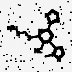 CCCCSCSc1nc(-c2nccs2)cc(-c2ccnn2C)c1C#N